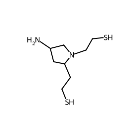 NC1CC(CCS)N(CCS)C1